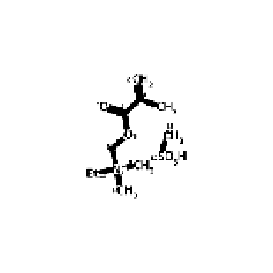 C=C(C)C(=O)OC[N+](C)(C)CC.CS(=O)(=O)O